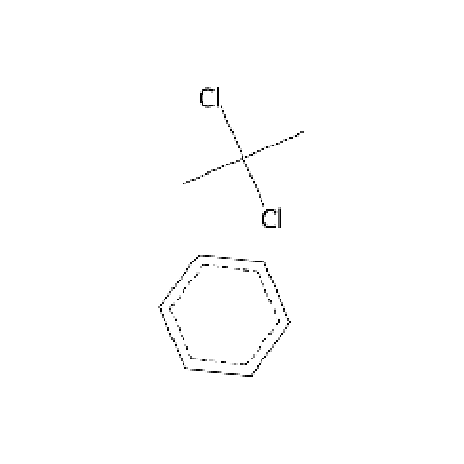 CC(C)(Cl)Cl.c1ccccc1